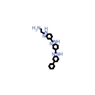 NCCc1nc2cc(-c3nc4cc(-c5nc6cc(-c7ccccc7)ccc6[nH]5)ccc4[nH]3)ccc2[nH]1